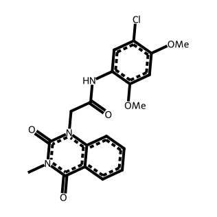 COc1cc(OC)c(NC(=O)Cn2c(=O)n(C)c(=O)c3ccccc32)cc1Cl